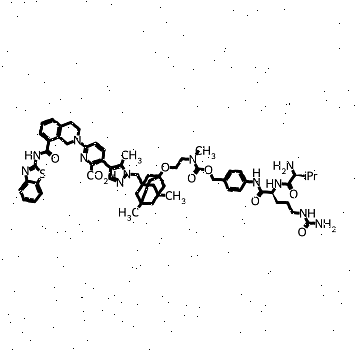 Cc1c(-c2ccc(N3CCc4cccc(C(=O)Nc5nc6ccccc6s5)c4C3)nc2C(=O)O)cnn1CC12CC3(C)CC(C)(C1)CC(OCCN(C)C(=O)OCc1ccc(NC(=O)[C@H](CCCNC(N)=O)NC(=O)[C@@H](N)C(C)C)cc1)(C3)C2